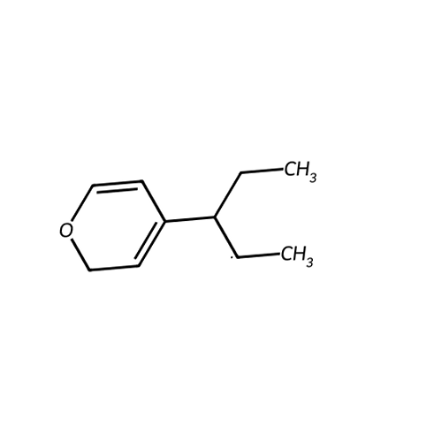 C[CH]C(CC)C1=CCOC=C1